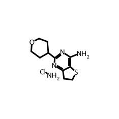 NCl.Nc1nc(C2CCOCC2)nc2c1SCC2